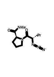 CNC(=O)[C@@H]1CCCN1C(=O)[C@@H](N=[N+]=[N-])C(C)C